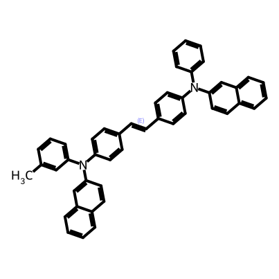 Cc1cccc(N(c2ccc(/C=C/c3ccc(N(c4ccccc4)c4ccc5ccccc5c4)cc3)cc2)c2ccc3ccccc3c2)c1